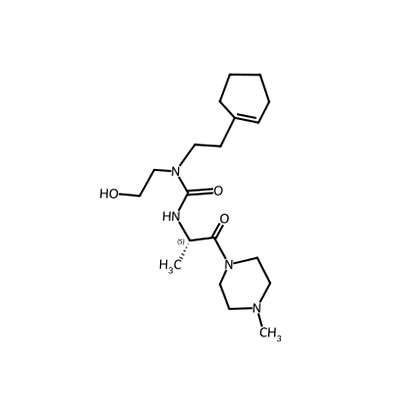 C[C@H](NC(=O)N(CCO)CCC1=CCCCC1)C(=O)N1CCN(C)CC1